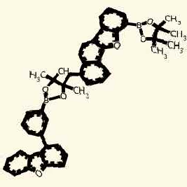 CC1(C)OB(c2cccc3c2oc2c4cccc(CC5(C)OB(c6cccc(-c7cccc8oc9ccccc9c78)c6)OC5(C)C)c4ccc32)OC1(C)C